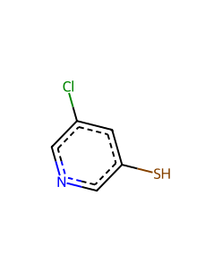 Sc1cncc(Cl)c1